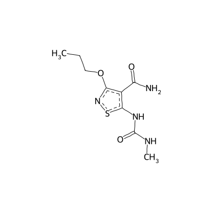 CCCOc1nsc(NC(=O)NC)c1C(N)=O